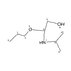 CCCOC(CO)NC(C)C